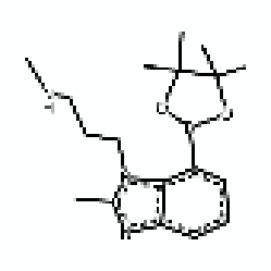 CNCCCn1c(C)nc2cccc(B3OC(C)(C)C(C)(C)O3)c21